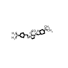 CN(C)c1ccc(C=NN2C=CN(N=Cc3ccc(N(C)C)cc3)C2OC(=O)O)cc1